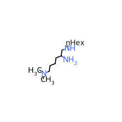 CCCCCCNCC(N)CCCCN(C)C